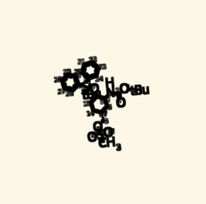 CC(C)(C)OC(=O)N[C@H]1C[C@H](COS(C)(=O)=O)CCC1O[Si](c1ccccc1)(c1ccccc1)C(C)(C)C